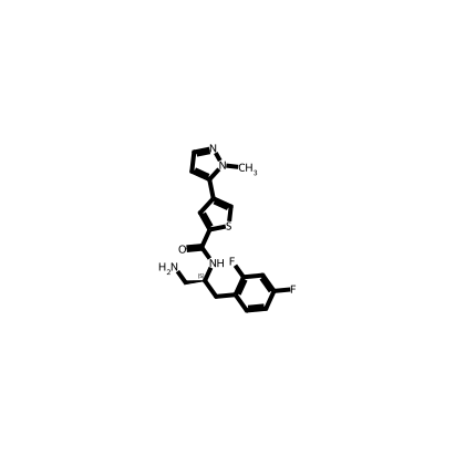 Cn1nccc1-c1csc(C(=O)N[C@H](CN)Cc2ccc(F)cc2F)c1